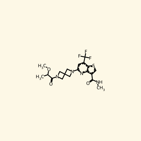 CNC(=O)c1csc2c(C(F)(F)F)cc(N3CC4(CN(C(=O)C(C)OC)C4)C3)nc12